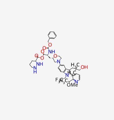 CO[C@@H](C)c1ncccc1-c1c(CC(C)(C)CO)c2cc(N3CCO[C@@H](C[C@H](NC(=O)OCc4ccccc4)C(=O)OC(=O)C4CCCNN4)C3)ccc2n1CC(F)(F)F